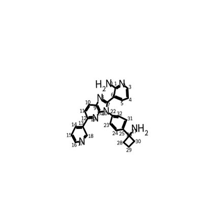 Nc1ncccc1-c1nc2ccc(-c3cccnc3)nc2n1-c1ccc(C2(N)CCC2)cc1